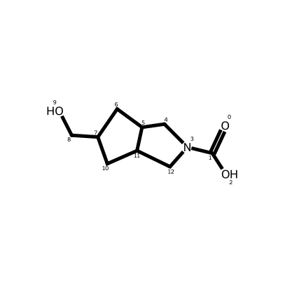 O=C(O)N1CC2CC(CO)CC2C1